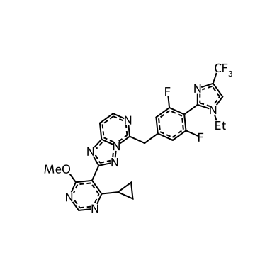 CCn1cc(C(F)(F)F)nc1-c1c(F)cc(Cc2nccc3nc(-c4c(OC)ncnc4C4CC4)nn23)cc1F